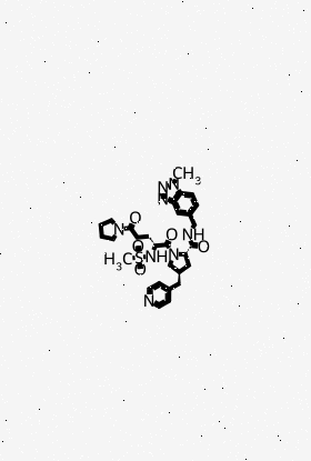 Cn1nnc2cc(CNC(=O)[C@@H]3C[C@@H](Cc4ccncc4)CN3C(=O)[C@@H](CCC(=O)N3CCCC3)NS(C)(=O)=O)ccc21